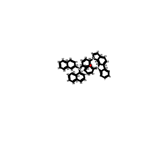 c1ccc(-n2c3ccccc3c3ccc4ccn(-c5ccc(N(c6ccc7ccccc7c6)c6cccc7ccccc67)cc5)c4c32)cc1